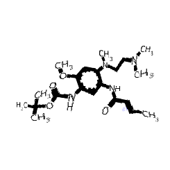 C/C=C/C(=O)Nc1cc(NC(=O)OC(C)(C)C)c(OC)cc1N(C)CCN(C)C